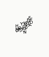 CC(C)C[C@@H](C(=O)N[C@H](C#N)C[C@@H]1CCNC1=O)N(C)C(=O)C(NC(=O)C(F)(F)F)C(C)(C)C